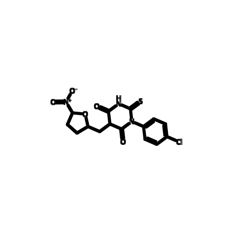 O=C1NC(=S)N(c2ccc(Cl)cc2)C(=O)C1CC1CCC([N+](=O)[O-])O1